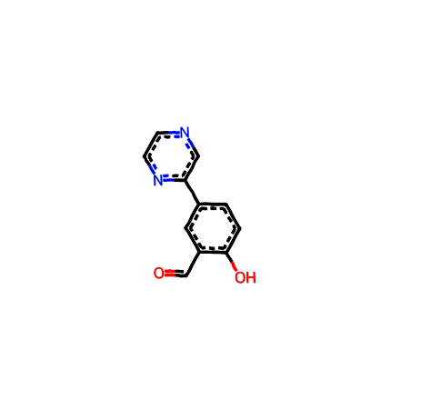 O=Cc1cc(-c2cnccn2)ccc1O